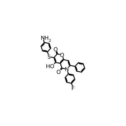 Nc1ccc(Sc2c(O)c3c(=O)n(-c4ccc(F)cc4)c(-c4ccccc4)cc3oc2=O)cc1